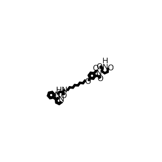 O=C(Cn1c2ccccc2c2cccnc21)NCCCCCCCCOc1ccc2c(c1)C(=O)N(C1CCC(=O)NC1=O)C2=O